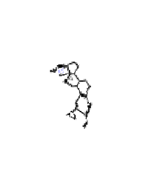 C=Cc1cc2c(cc1OC)C1CC[C@]3(C)/C(=C\C)CCC3C1CC2